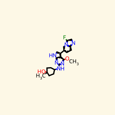 COc1nc(NC2CCC(C)(O)CC2)nc2[nH]cc(-c3ccc4ncc(F)n4c3)c12